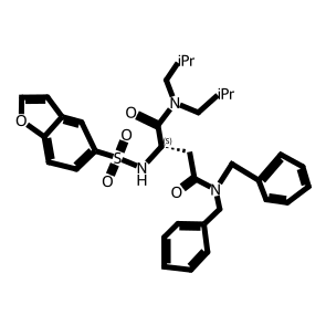 CC(C)CN(CC(C)C)C(=O)[C@H](CC(=O)N(Cc1ccccc1)Cc1ccccc1)NS(=O)(=O)c1ccc2occc2c1